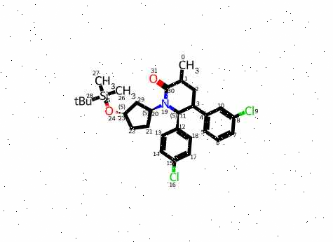 CC1CC(c2cccc(Cl)c2)[C@@H](c2ccc(Cl)cc2)N([C@H]2CC[C@H](O[Si](C)(C)C(C)(C)C)C2)C1=O